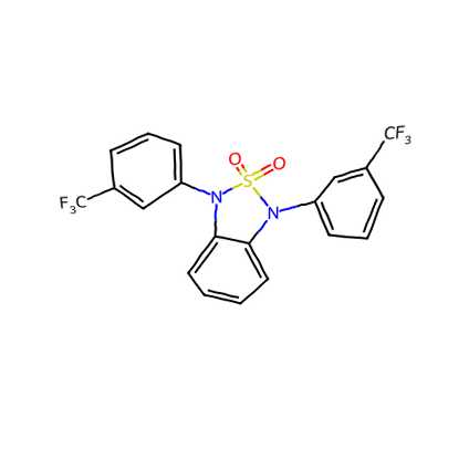 O=S1(=O)N(c2cccc(C(F)(F)F)c2)c2ccccc2N1c1cccc(C(F)(F)F)c1